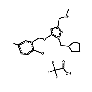 CNCc1cc(OCc2cc(F)ccc2Cl)n(CC2CCCC2)n1.O=C(O)C(F)(F)F